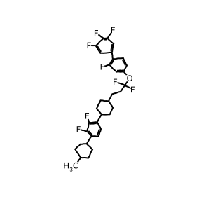 CC1CCC(c2ccc(C3CCC(CCC(F)(F)Oc4ccc(-c5cc(F)c(F)c(F)c5)c(F)c4)CC3)c(F)c2F)CC1